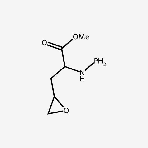 COC(=O)C(CC1CO1)NP